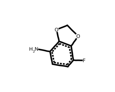 Nc1ccc(F)c2c1OCO2